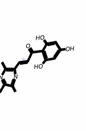 Cc1nc(C)c(/C=C/C(=O)c2c(O)cc(O)cc2O)nc1C